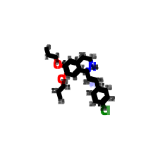 CCCOc1cc2c(cc1OCCC)C(/C=C/c1ccc(Cl)cc1)=NCC2